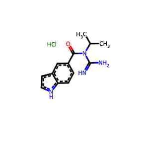 CC(C)N(C(=N)N)C(=O)c1ccc2[nH]ccc2c1.Cl